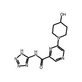 O=C(Nc1nnn[nH]1)c1cncc(N2CCC(O)CC2)n1